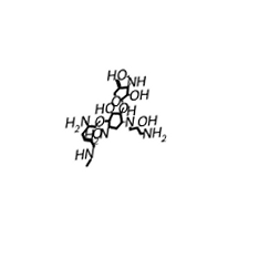 CCNCC1=CC[C@@H](N)[C@@H](OC2[C@@H](N)C[C@@H](NCC(O)CN)[C@H](O[C@H]3OC/C(=C/O)[C@H](NC)[C@H]3O)[C@H]2O)O1